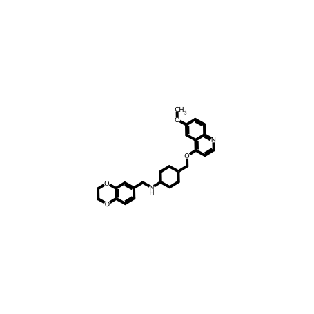 COc1ccc2nccc(OCC3CCC(NCc4ccc5c(c4)OCCO5)CC3)c2c1